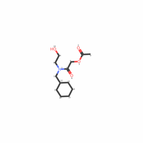 CC(=O)OCC(=O)N(CCO)CC1CCCCC1